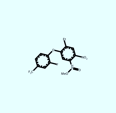 CCc1cc([N+](=O)[O-])c([PH](=O)OC)cc1Oc1ccc(C(F)(F)F)cc1F